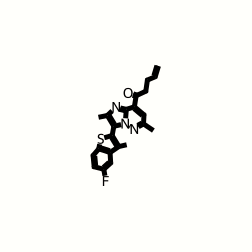 C=CCCC(=O)c1cc(C)nn2c(-c3sc4ccc(F)cc4c3C)c(C)nc12